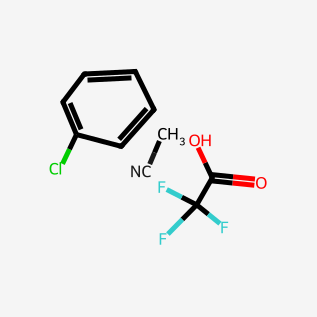 CC#N.Clc1ccccc1.O=C(O)C(F)(F)F